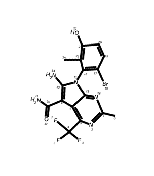 Cc1nc(C(F)(F)F)c2c(C(N)=O)c(N)n(-c3c(Br)ccc(O)c3C)c2n1